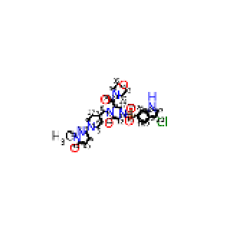 Cn1nc(N2CCC(CN3C(=O)CN(S(=O)(=O)c4ccc5c(Cl)c[nH]c5c4)CC3C(=O)N3CCOCC3)CC2)ccc1=O